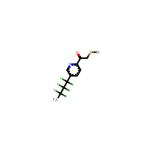 CCSCC(=O)c1ccc(C(F)(F)C(F)(F)C(F)(F)C(F)(F)F)cn1